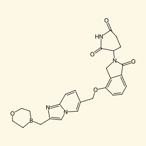 O=C1CCC(N2Cc3c(OCc4ccc5nc(CB6CCOCC6)cn5c4)cccc3C2=O)C(=O)N1